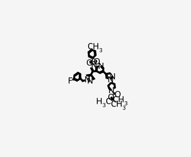 Cc1ccc(S(=O)(=O)n2cc(-c3cnn(Cc4cccc(F)c4)c3)c3cc(-c4cnn(C5CCN(C(=O)OC(C)(C)C)CC5)c4)cnc32)cc1